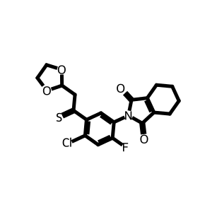 O=C1C2=C(CCCC2)C(=O)N1c1cc(C(=S)CC2OCCO2)c(Cl)cc1F